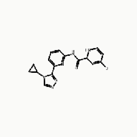 O=C(Nc1cccc(-c2nncn2C2CC2)n1)C1C=C(Cl)C=CN1